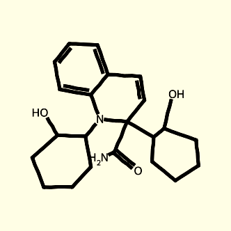 NC(=O)C1(C2CCCCC2O)C=Cc2ccccc2N1C1CCCCC1O